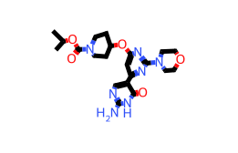 CC(C)OC(=O)N1CCC(Oc2cc(-c3cnc(N)[nH]c3=O)nc(N3CCOCC3)n2)CC1